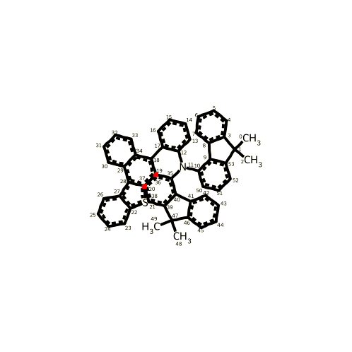 CC1(C)c2ccccc2-c2c(N(c3ccccc3-c3cc4sc5ccccc5c4c4ccccc34)c3cccc4c3-c3ccccc3C4(C)C)cccc21